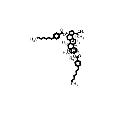 C=C(C)[C@@H]1CC[C@]2(COC(=O)c3ccc(CCCCCCC)cc3)CC[C@]3(CC)[C@H](CC[C@@H]4[C@@]5(C)CC[C@H](OC(=O)c6ccc(CCCCCCC)cc6)C(C)(C)[C@@H]5CC[C@]43C)[C@@H]12